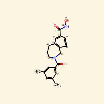 Cc1cc(C)cc(C(=O)N2CCCc3cc(C(=O)NO)ccc3C2)c1